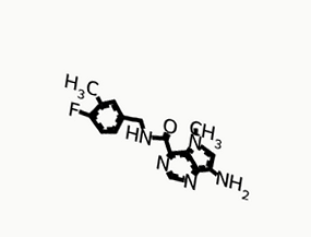 Cc1cc(CNC(=O)c2ncnc3c(N)cn(C)c23)ccc1F